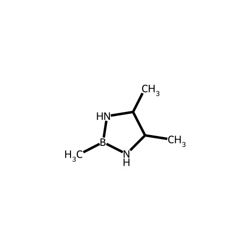 CB1NC(C)C(C)N1